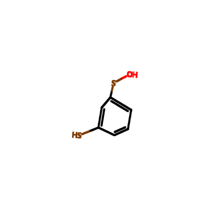 OSc1cccc(S)c1